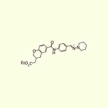 CCOC(=O)CC1COc2ccc(C(=O)Nc3ccc(/C=N/N4CCCCC4)cc3)cc2C1